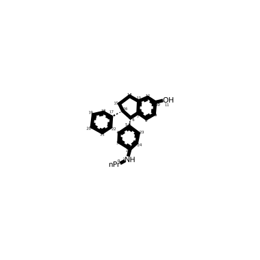 CCCNc1ccc([C@H]2c3ccc(O)cc3CC[C@H]2c2ccccc2)cc1